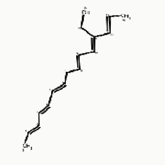 CC=CC=CC=CCC=CC=C(C=CC)CO